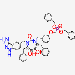 Nc1n[nH]c2ccc(CN3C(=O)N(Cc4cccc(OCP(=O)(OCc5ccccc5)OCc5ccccc5)c4)[C@H](Cc4ccccc4)[C@H](O)[C@@H](O)[C@H]3Cc3ccccc3)cc12